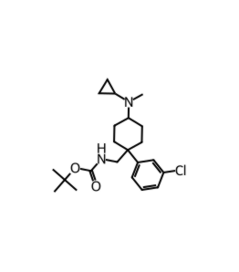 CN(C1CC1)C1CCC(CNC(=O)OC(C)(C)C)(c2cccc(Cl)c2)CC1